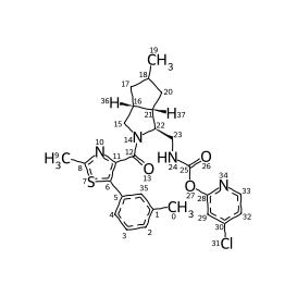 Cc1cccc(-c2sc(C)nc2C(=O)N2C[C@@H]3CC(C)C[C@@H]3[C@H]2CNC(=O)Oc2cc(Cl)ccn2)c1